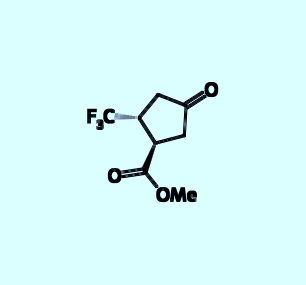 COC(=O)[C@@H]1CC(=O)C[C@H]1C(F)(F)F